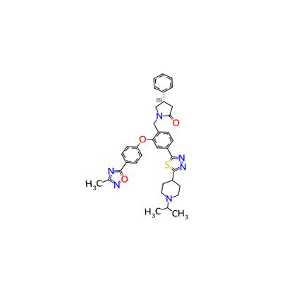 Cc1noc(-c2ccc(Oc3cc(-c4nnc(C5CCN(C(C)C)CC5)s4)ccc3CN3C[C@H](c4ccccc4)CC3=O)cc2)n1